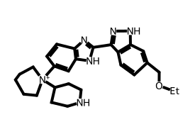 CCOCc1ccc2c(-c3nc4ccc([N+]5(C6CCNCC6)CCCCC5)cc4[nH]3)n[nH]c2c1